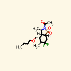 CCCCOC[C@@H]1[C@@H]2[C@@H](C)N(C(C)=O)S(=O)(=O)[C@@H]2CC(F)(F)[C@H]1C